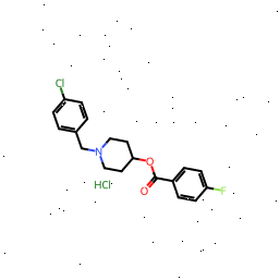 Cl.O=C(OC1CCN(Cc2ccc(Cl)cc2)CC1)c1ccc(F)cc1